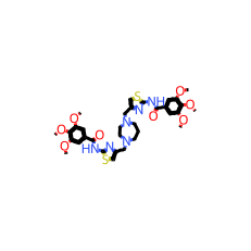 COc1cc(C(=O)Nc2nc(CN3CCCN(Cc4csc(NC(=O)c5cc(OC)c(OC)c(OC)c5)n4)CC3)cs2)cc(OC)c1OC